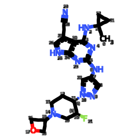 CC1(Nc2nc(Nc3cnn([C@H]4CCN(C5COC5)C[C@@H]4F)c3)nc3[nH]cc(C#N)c23)CC1